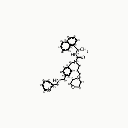 C[C@H](NC(=O)N(CCCN1CCOCC1)Cc1ccc(CNCc2ccccn2)cc1)c1cccc2ccccc12